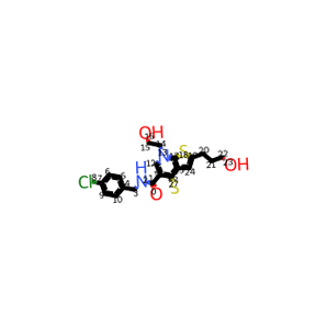 O=C(NCc1ccc(Cl)cc1)c1cn(CCO)c2sc(CCCO)cc2c1=S